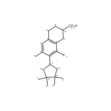 Cc1cc2c(c(F)c1B1OC(C)(C)C(C)(C)O1)CN(C(=O)O)CC2